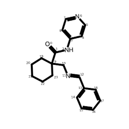 O=C(Nc1ccncc1)C1(CN=Cc2ccccc2)CCCCC1